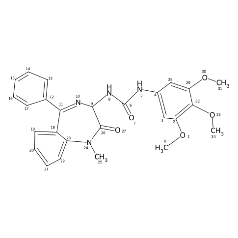 COc1cc(NC(=O)NC2N=C(c3ccccc3)c3ccccc3N(C)C2=O)cc(OC)c1OC